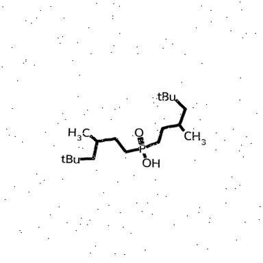 CC(CCP(=O)(O)CCC(C)CC(C)(C)C)CC(C)(C)C